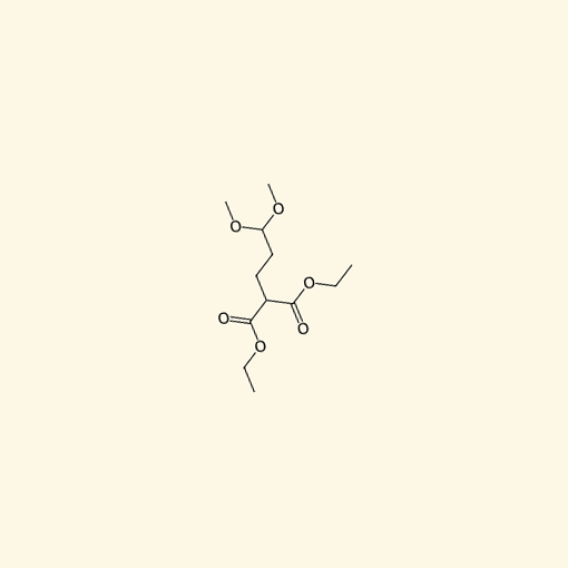 CCOC(=O)C(CCC(OC)OC)C(=O)OCC